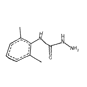 Cc1cccc(C)c1NC(=O)NN